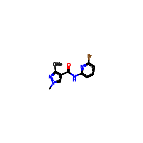 COc1nn(C)cc1C(=O)Nc1cccc(Br)n1